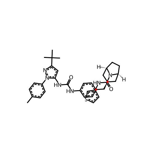 Cc1ccc(-n2nc(C(C)(C)C)cc2NC(=O)Nc2ccc(C[C@H]3C[C@H]4CC[C@@H](C3)N4C(=O)Nc3ccsc3)cc2)cc1